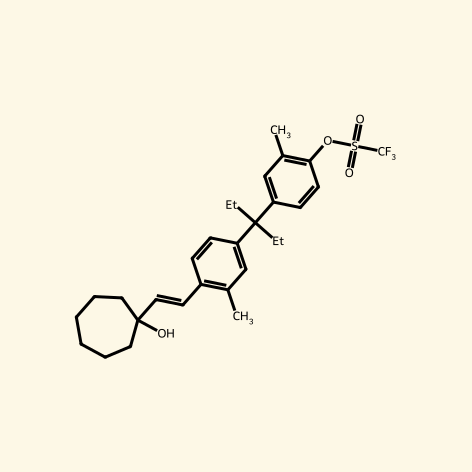 CCC(CC)(c1ccc(/C=C/C2(O)CCCCCC2)c(C)c1)c1ccc(OS(=O)(=O)C(F)(F)F)c(C)c1